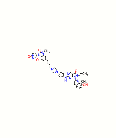 C=CCn1c(=O)c2cnc(Nc3ccc(N4CCN(CCCCc5ccc6c(c5)n(C)c(=O)n6C5CCC(=O)NC5=O)CC4)cc3)nc2n1-c1cccc(C(C)(C)O)n1